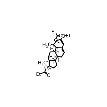 CCOC1=CC2=CC[C@H]3[C@@H]4CC[C@H](OC(=O)CC)[C@@]4(C)CC[C@@H]3[C@@]2(COC(=O)CC)[C@@H](C)C1